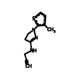 C#CCNC1=NN(c2sccc2C)CC1